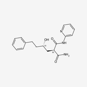 NC(=O)[C@@H](C[C@@H](O)[CH]Cc1ccccc1)C(=O)Nc1ccccn1